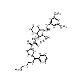 COCCCOC(c1ccccc1)C1CCN(C(=O)C(=O)N[C@@](C)(C2CCCCC2)[C@H](O)CNCc2cc(OC)cc(OC)c2)C1